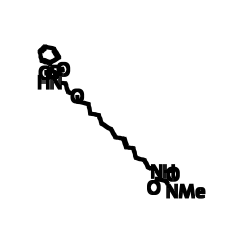 CNC(=O)C(=O)NCCCCC=CCCCCCCCOCCNS(=O)(=O)c1ccccc1